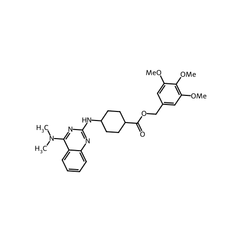 COc1cc(COC(=O)C2CCC(Nc3nc(N(C)C)c4ccccc4n3)CC2)cc(OC)c1OC